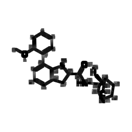 COc1ccccc1-c1cccc2c1SC(C(=O)N[C@H]1CN3CCC1CC3)C2